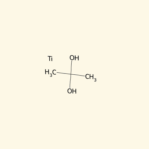 CC(C)(O)O.[Ti]